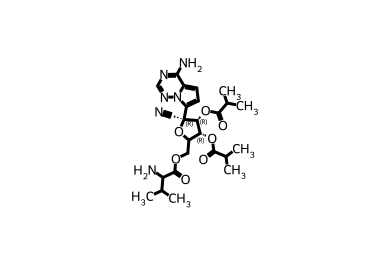 CC(C)C(=O)O[C@@H]1C(COC(=O)C(N)C(C)C)O[C@@](C#N)(c2ccc3c(N)ncnn23)[C@@H]1OC(=O)C(C)C